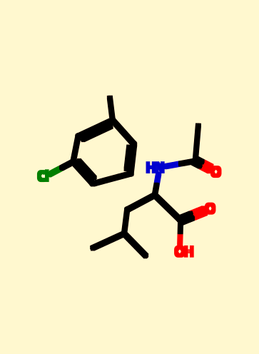 CC(=O)NC(CC(C)C)C(=O)O.Cc1cccc(Cl)c1